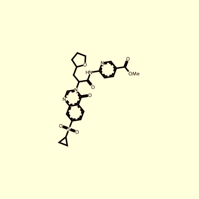 COC(=O)c1ccc(NC(=O)C(CC2CCCO2)n2cnc3cc(S(=O)(=O)C4CC4)ccc3c2=O)nc1